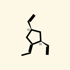 C=C[C@@H]1CC(=CC)[C@H](C=C)C1